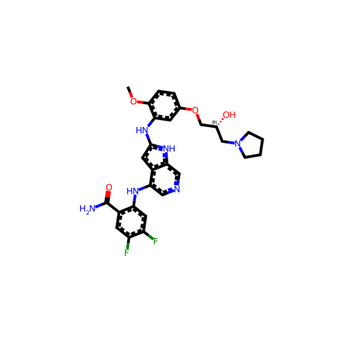 COc1ccc(OC[C@H](O)CN2CCCC2)cc1Nc1cc2c(Nc3cc(F)c(F)cc3C(N)=O)cncc2[nH]1